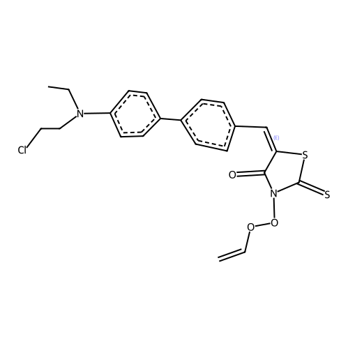 C=COON1C(=O)/C(=C\c2ccc(-c3ccc(N(CC)CCCl)cc3)cc2)SC1=S